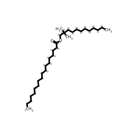 CCCCCCCCCCCCCCCCCC(=O)OCC(C)(C)CCCCCCCCCC